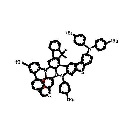 CC(C)(C)c1ccc(N2B3c4cc5occc5cc4N(c4ccc(C(C)(C)C)cc4-c4ccccc4)c4cc5c(c(c43)-c3cc4c(cc32)sc2ccc(N(c3ccc(C(C)(C)C)cc3)c3ccc(C(C)(C)C)cc3)cc24)C(C)(C)c2ccccc2-5)cc1